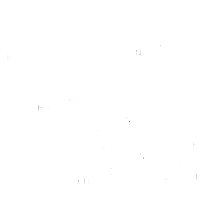 C=CS(=O)(=O)c1nc(-c2ccc(=O)n(Cc3ccc(OC)c(OC)c3)c2)cc(C(F)(F)F)n1